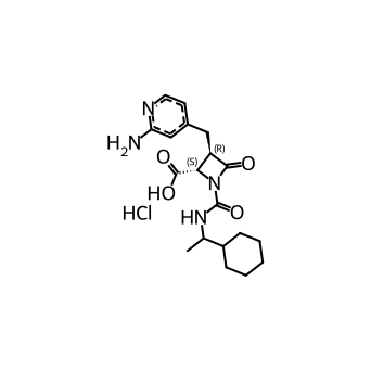 CC(NC(=O)N1C(=O)[C@H](Cc2ccnc(N)c2)[C@H]1C(=O)O)C1CCCCC1.Cl